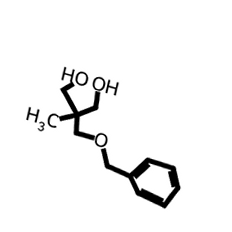 CC(CO)(CO)COCc1ccccc1